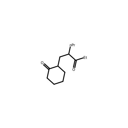 CCCC(CC1CCCCC1=O)C(=O)CC